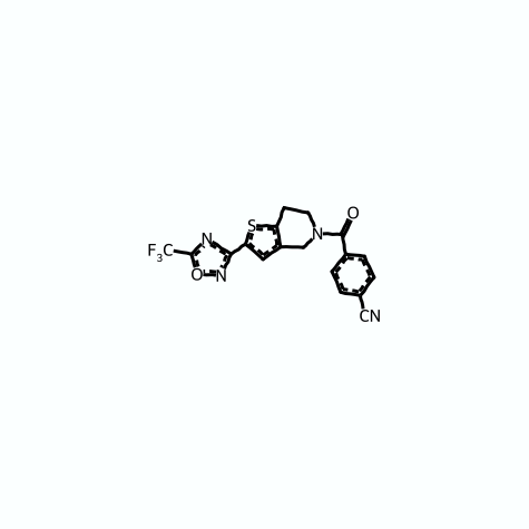 N#Cc1ccc(C(=O)N2CCc3sc(-c4noc(C(F)(F)F)n4)cc3C2)cc1